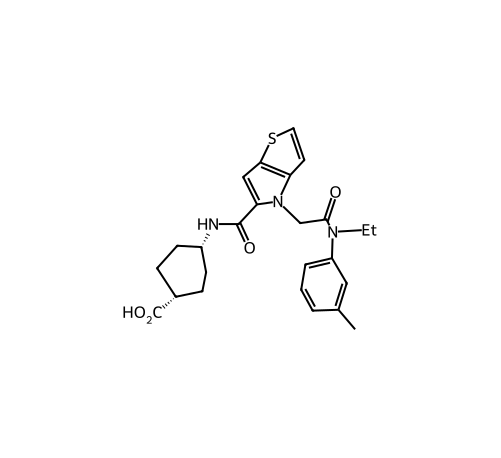 CCN(C(=O)Cn1c(C(=O)N[C@H]2CC[C@@H](C(=O)O)CC2)cc2sccc21)c1cccc(C)c1